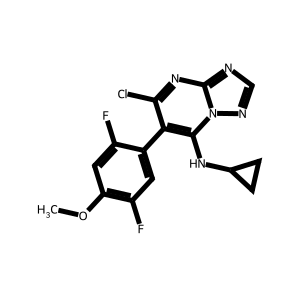 COc1cc(F)c(-c2c(Cl)nc3ncnn3c2NC2CC2)cc1F